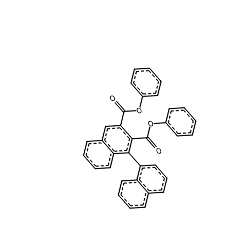 O=C(Oc1ccccc1)c1cc2ccccc2c(-c2cccc3ccccc23)c1C(=O)Oc1ccccc1